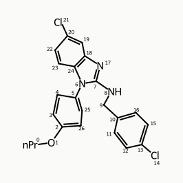 CCCOc1ccc(-n2c(NCc3ccc(Cl)cc3)nc3cc(Cl)ccc32)cc1